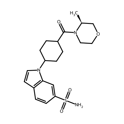 C[C@H]1COCCN1C(=O)C1CCC(n2ccc3ccc(S(N)(=O)=O)cc32)CC1